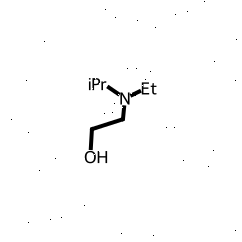 CCN(CCO)C(C)C